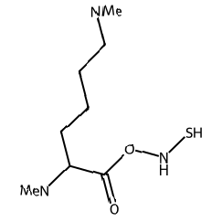 CNCCCCC(NC)C(=O)ONS